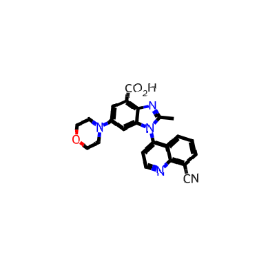 Cc1nc2c(C(=O)O)cc(N3CCOCC3)cc2n1-c1ccnc2c(C#N)cccc12